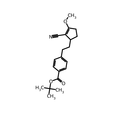 COC1=C(C#N)C(CCc2ccc(C(=O)OC(C)(C)C)cc2)CC1